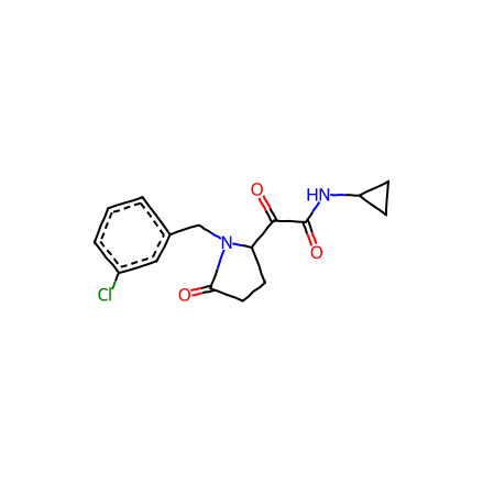 O=C(NC1CC1)C(=O)C1CCC(=O)N1Cc1cccc(Cl)c1